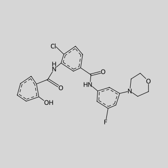 O=C(Nc1cc(F)cc(N2CCOCC2)c1)c1ccc(Cl)c(NC(=O)c2ccccc2O)c1